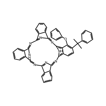 CC(C)(c1ccccc1)c1ccc2c3nc4nc(nc5[nH]c(nc6nc(nc([nH]3)c2c1Oc1ccccc1)-c1ccccc1-6)c1ccccc51)-c1ccccc1-4